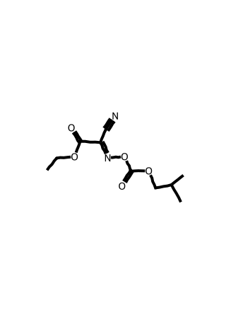 CCOC(=O)C(C#N)=NOC(=O)OCC(C)C